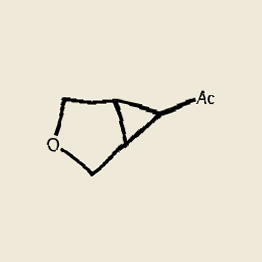 CC(=O)C1C2COCC21